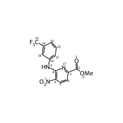 COC(=O)c1ccc([N+](=O)[O-])c(Nc2cccc(C(F)(F)F)c2)n1